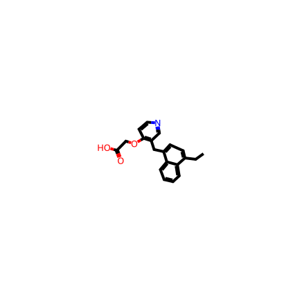 CCc1ccc(Cc2cnccc2OCC(=O)O)c2ccccc12